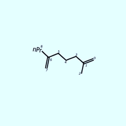 C=C(C)CCCC(=C)CCC